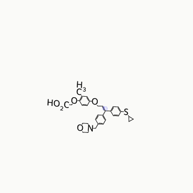 Cc1cc(OC/C=C(\c2ccc(CN3CCOCC3)cc2)c2ccc(SC3CC3)cc2)ccc1OCC(=O)O